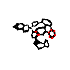 c1ccc(-c2ccccc2-c2c(-c3ccccc3)cccc2-c2cccc(N(c3ccc(-c4cccc5ccccc45)cc3)c3ccc4ccccc4c3)c2)cc1